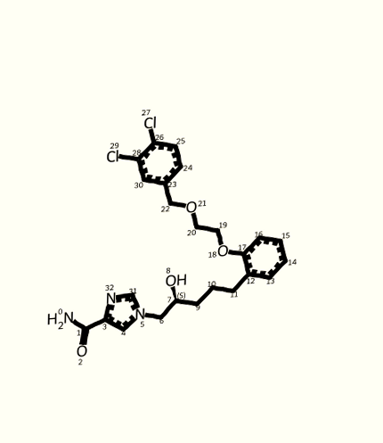 NC(=O)c1cn(C[C@@H](O)CCCc2ccccc2OCCOCc2ccc(Cl)c(Cl)c2)cn1